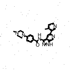 Cc1ccncc1-c1cc2c(NC(=O)c3ccc(N4CCN(C)CC4)cc3)n[nH]c2cn1